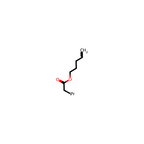 C=CCCCOC(=O)CC(C)C